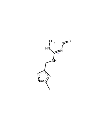 CN/C(=N\N=O)NCc1cnc(I)s1